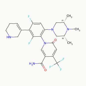 C[C@@H]1CN(c2cc(F)c(C3=CCCNC3)c(F)c2-n2cc(C(N)=O)c(C(F)(F)F)cc2=O)C[C@H](C)N1C